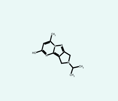 Cc1cc(O)nc2c3c(nn12)CN(C(C)C)C3